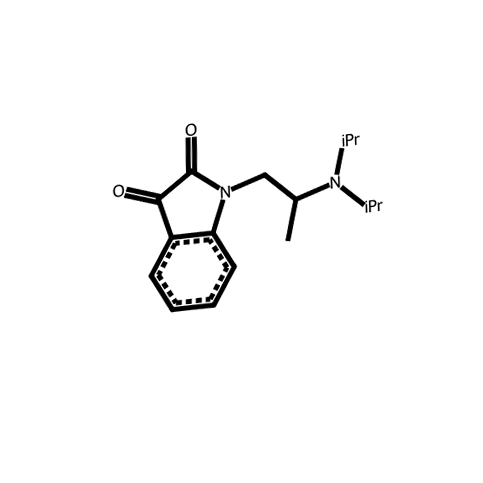 CC(C)N(C(C)C)C(C)CN1C(=O)C(=O)c2ccccc21